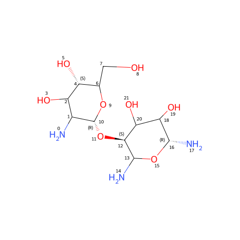 NC1C(O)[C@H](O)C(CO)O[C@@H]1O[C@@H]1C(N)O[C@@H](N)C(O)C1O